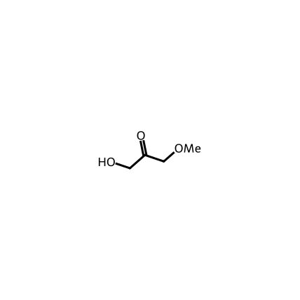 COCC(=O)CO